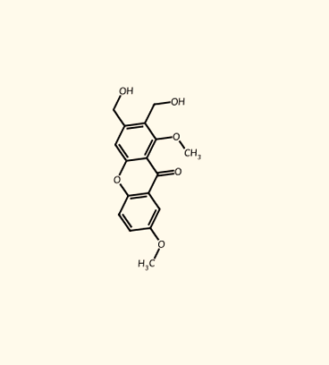 COc1ccc2oc3cc(CO)c(CO)c(OC)c3c(=O)c2c1